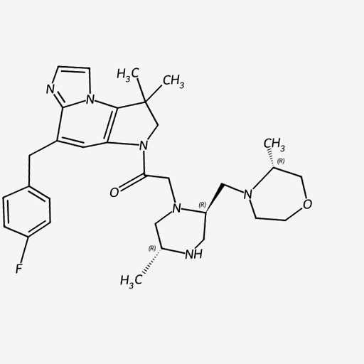 C[C@@H]1CN(CC(=O)N2CC(C)(C)c3c2cc(Cc2ccc(F)cc2)c2nccn32)[C@@H](CN2CCOC[C@H]2C)CN1